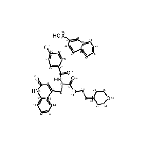 O=C(NC(Cc1cc(=O)[nH]c2ccccc12)C(=O)OCCN1CCOCC1)c1ccc(Cl)cc1.O=C(O)c1ccc2ccccc2c1